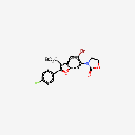 CCOC(=O)c1c(-c2ccc(F)cc2)oc2cc(N3CCOC3=O)c(Br)cc12